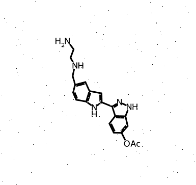 CC(=O)Oc1ccc2c(-c3cc4cc(CNCCN)ccc4[nH]3)n[nH]c2c1